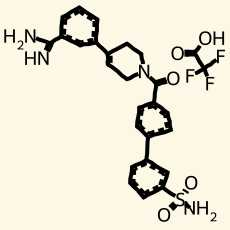 N=C(N)c1cccc(C2=CCN(C(=O)c3ccc(-c4cccc(S(N)(=O)=O)c4)cc3)CC2)c1.O=C(O)C(F)(F)F